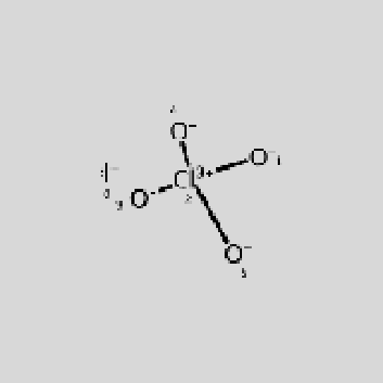 [I+].[O-][Cl+3]([O-])([O-])[O-]